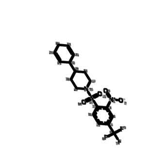 O=[N+]([O-])c1cc(C(F)(F)F)ccc1S(=O)(=O)N1CCC(C2C=CCC=C2)CC1